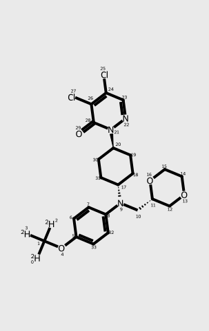 [2H]C([2H])([2H])Oc1ccc(N(C[C@H]2COCCO2)[C@H]2CC[C@H](n3ncc(Cl)c(Cl)c3=O)CC2)cc1